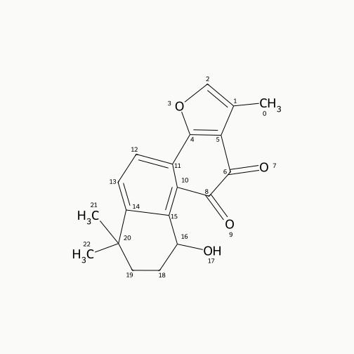 Cc1coc2c1C(=O)C(=O)c1c-2ccc2c1C(O)CCC2(C)C